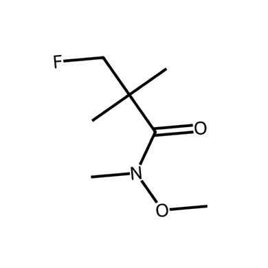 CON(C)C(=O)C(C)(C)CF